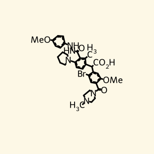 COc1ccc(NNC(=O)c2c(N3CCCCC3)ccc(C(C(=O)O)c3cc(OC)c(C(=O)N4CCN(C)CC4)cc3Br)c2C)cc1